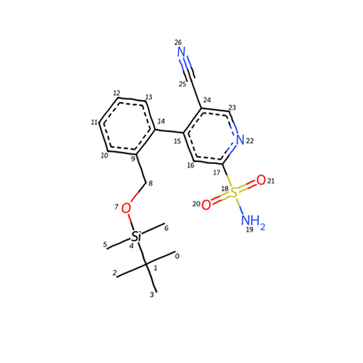 CC(C)(C)[Si](C)(C)OCc1ccccc1-c1cc(S(N)(=O)=O)ncc1C#N